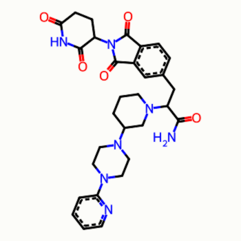 NC(=O)C(Cc1ccc2c(c1)C(=O)N(C1CCC(=O)NC1=O)C2=O)N1CCCC(N2CCN(c3ccccn3)CC2)C1